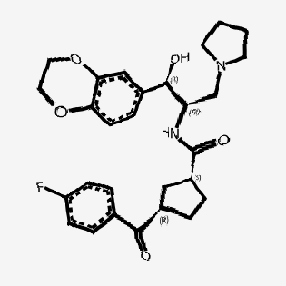 O=C(N[C@H](CN1CCCC1)[C@H](O)c1ccc2c(c1)OCCO2)[C@H]1CC[C@@H](C(=O)c2ccc(F)cc2)C1